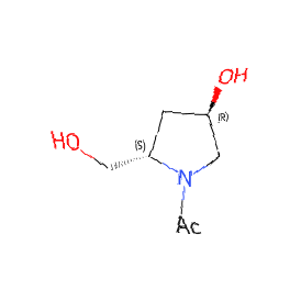 CC(=O)N1C[C@H](O)C[C@H]1CO